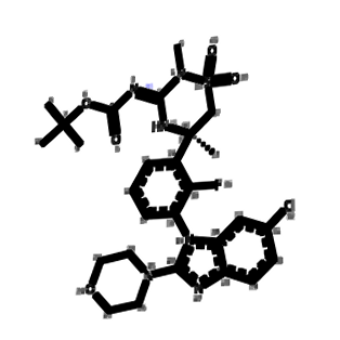 CN1/C(=N/C(=O)OC(C)(C)C)N[C@](C)(c2cccc(-n3c(N4CCOCC4)nc4ccc(Cl)cc43)c2F)CS1(=O)=O